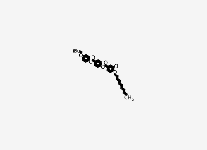 C=CCCCCCCCCCOc1ccc(C(=O)Oc2ccc(C(=O)Oc3ccc(OCC(C)CC)cc3)cc2)cc1Cl